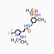 Cc1cc(CNC(=O)/C=C/c2ccc(C(F)(F)F)nc2NC(C)C)ccc1NS(C)(=O)=O